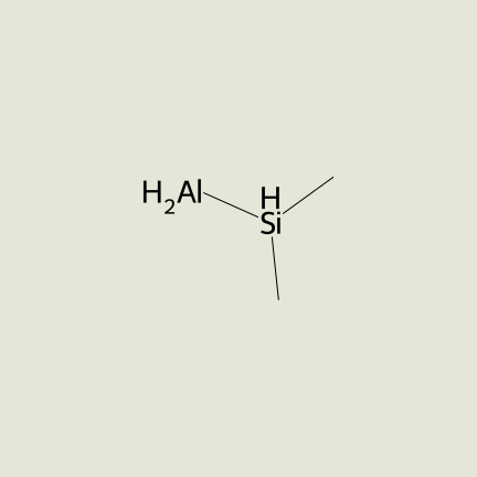 C[SiH](C)[AlH2]